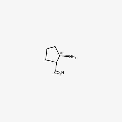 N[C@@H]1CCCC1C(=O)O